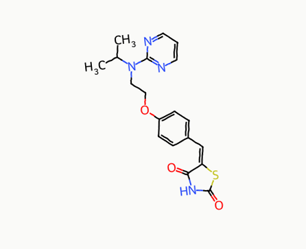 CC(C)N(CCOc1ccc(/C=C2/SC(=O)NC2=O)cc1)c1ncccn1